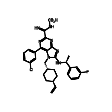 C=C[C@H]1CC[C@H](Cn2c(N[C@@H](C)c3cccc(F)c3)nc3nc(C(=N)NC(=O)O)nc(-c4cccc(Cl)c4)c32)CC1